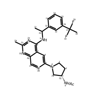 CC(=O)N[C@H]1CCN(c2cc3c(NC(C)c4cccc(C(C)(F)F)c4)nc(C)nc3cn2)C1